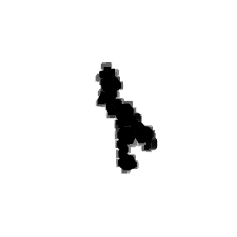 COc1ccc(CN(c2ccc(CCCC3CCCC3)cc2F)S(=O)(=O)c2ccc3c(c2)CCN(C2(Cc4ccc(C(C)(C)C)cc4)CC2)C3)cc1